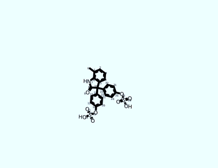 Cc1cccc2c1NC(=O)C2(c1ccc(OS(=O)(=O)O)cc1)c1ccc(OS(=O)(=O)O)cc1